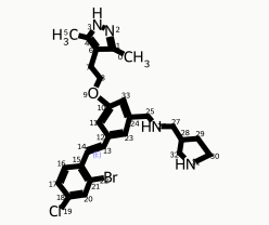 Cc1n[nH]c(C)c1CCOc1cc(/C=C/c2ccc(Cl)cc2Br)cc(CNCC2CCNC2)c1